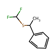 CC(SC(F)F)c1ccccc1